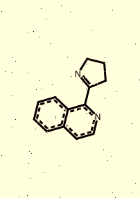 c1ccc2c(C3=NCCC3)nccc2c1